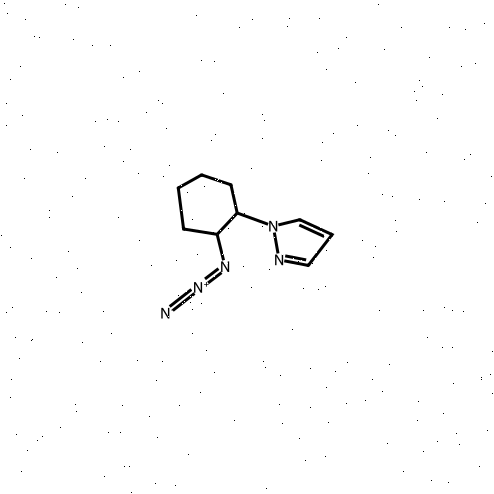 [N-]=[N+]=NC1CCCCC1n1cccn1